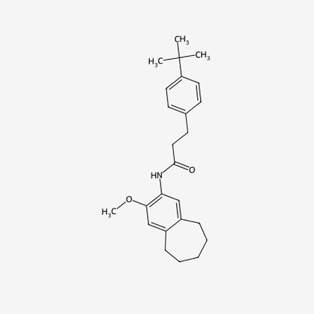 COc1cc2c(cc1NC(=O)CCc1ccc(C(C)(C)C)cc1)CCCCC2